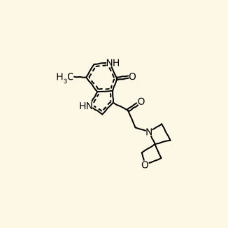 Cc1c[nH]c(=O)c2c(C(=O)CN3CCC34COC4)c[nH]c12